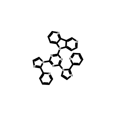 c1ccc(-c2nccn2-c2nc(-n3ccnc3-c3ccccn3)nc(-n3c4ccncc4c4ncccc43)n2)nc1